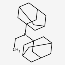 CCP(C12CC3CC(CC(C3)C1)C2)C12CC3CC(CC(C3)C1)C2